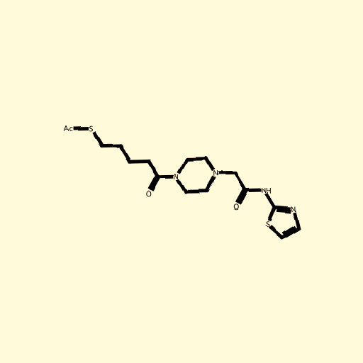 CC(=O)SCCCCC(=O)N1CCN(CC(=O)Nc2nccs2)CC1